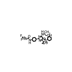 C[C@@H](CO)Nc1cc(C2(S(=O)(=O)c3ccccc3)CC2)nc(-c2ccc(NC(=O)NCC(F)F)cc2)n1